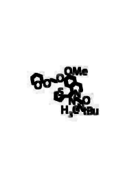 COc1cc2c(cc1OCCOC1CCCCO1)-c1c(-c3cccs3)nc(C(=O)N(C)C(C)(C)C)n1CC2